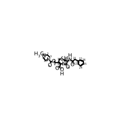 CN1CCN(C(=O)OCC2=C(C(=O)O)N3C(=O)C(NC(=O)Cc4ccccc4)[C@H]3SC2)CC1